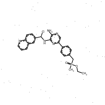 CCOP(C)(=O)Cc1ccc(-c2cnc(N)c(NC(Cl)c3ccc4ncccc4c3)n2)cc1